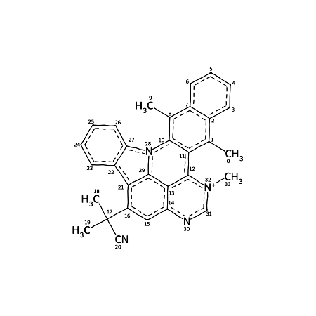 Cc1c2ccccc2c(C)c2c1c1c3c(cc(C(C)(C)C#N)c4c5ccccc5n2c43)nc[n+]1C